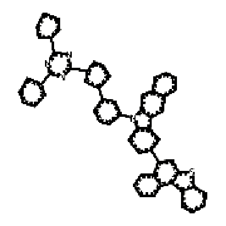 c1ccc(-c2nc(-c3ccccc3)nc(-c3cccc(-c4cccc(-n5c6ccc(-c7cc8sc9ccccc9c8c8ccccc78)cc6c6cc7ccccc7cc65)c4)c3)n2)cc1